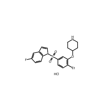 CCc1ccc(S(=O)(=O)n2ccc3cc(F)ccc32)cc1OC1CCNCC1.Cl